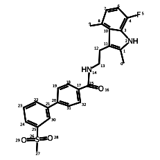 Cc1[nH]c2c(F)ccc(C)c2c1CCNC(=O)c1ccc(-c2cccc(S(C)(=O)=O)c2)cc1